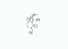 CC(C)c1c2c(nn1C(C)C)CC/C(=C\N(C)C)C2=O